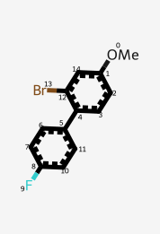 COc1ccc(-c2ccc(F)cc2)c(Br)c1